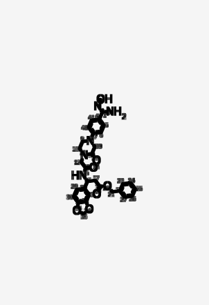 NC(=NO)c1ccc(N2CCN(CC(=O)NC(CC(=O)OCc3ccccc3)c3ccc4c(c3)OCO4)C(=O)C2)cc1